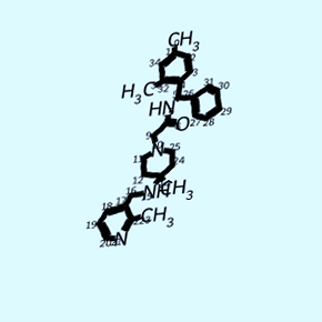 Cc1ccc(C(NC(=O)CN2CCC(C)(NCc3cccnc3C)CC2)c2ccccc2)c(C)c1